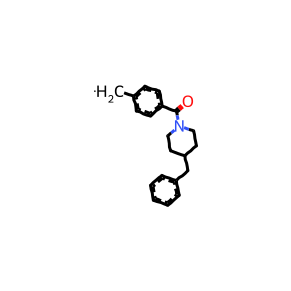 [CH2]c1ccc(C(=O)N2CCC(Cc3ccccc3)CC2)cc1